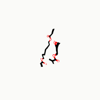 C=C(C)C(=O)OCC1CO1.C=CC(=O)OCCCCCCOC(=O)C=C